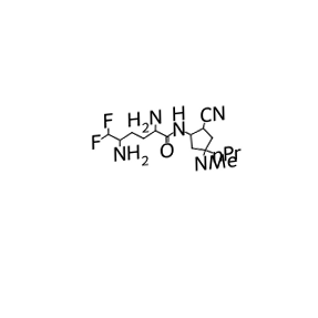 CCCC1(NC)CC(C#N)C(NC(=O)C(N)CCC(N)C(F)F)C1